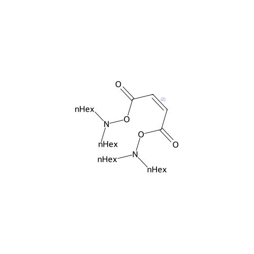 CCCCCCN(CCCCCC)OC(=O)/C=C\C(=O)ON(CCCCCC)CCCCCC